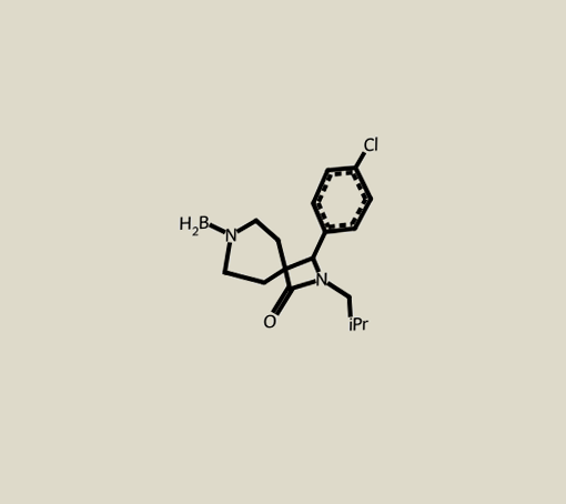 BN1CCC2(CC1)C(=O)N(CC(C)C)C2c1ccc(Cl)cc1